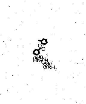 Cc1ccccc1OC(=O)c1cccc(S(=O)(=O)Nc2nnc(S(N)(=O)=O)s2)c1